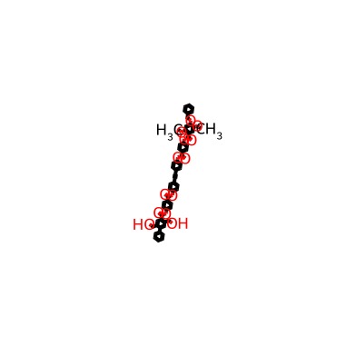 COc1cc(C(=O)Oc2ccc(C(=O)Oc3ccc(C#Cc4ccc(OC(=O)c5ccc(OC(=O)c6cc(CO)c(-c7ccccc7)cc6CO)cc5)cc4)cc3)cc2)c(OC)cc1OCc1ccccc1